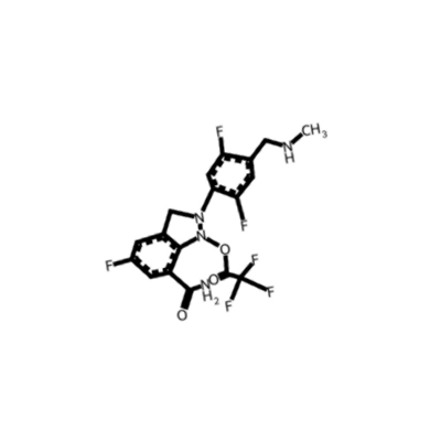 CNCc1cc(F)c(N2Cc3cc(F)cc(C(N)=O)c3N2OC(=O)C(F)(F)F)cc1F